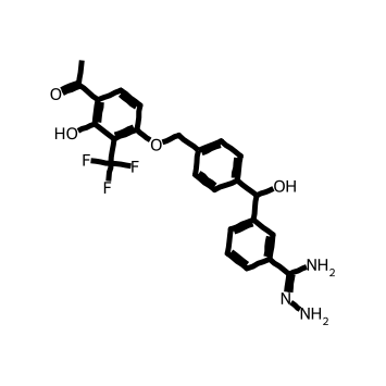 CC(=O)c1ccc(OCc2ccc(C(O)c3cccc(/C(N)=N/N)c3)cc2)c(C(F)(F)F)c1O